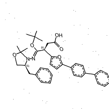 CC(C)(C)OC(=NN1[C@@H](Cc2ccccc2)COC1(C)C)[C@@H](CC(=O)O)c1ccc(-c2ccc(-c3ccccc3)cc2)o1